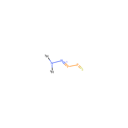 [3H]N([3H])/N=P/P=S